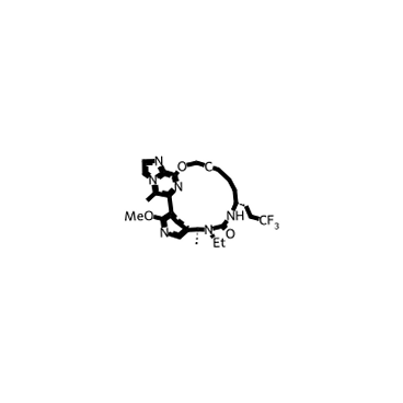 CCN1C(=O)N[C@@H](CCC(F)(F)F)CCCCCOc2nc(c(C)n3ccnc23)-c2cc(cnc2OC)[C@H]1C